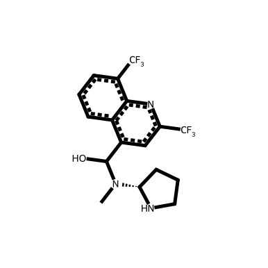 CN(C(O)c1cc(C(F)(F)F)nc2c(C(F)(F)F)cccc12)[C@@H]1CCCN1